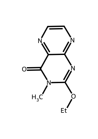 CCOc1nc2nccnc2c(=O)n1C